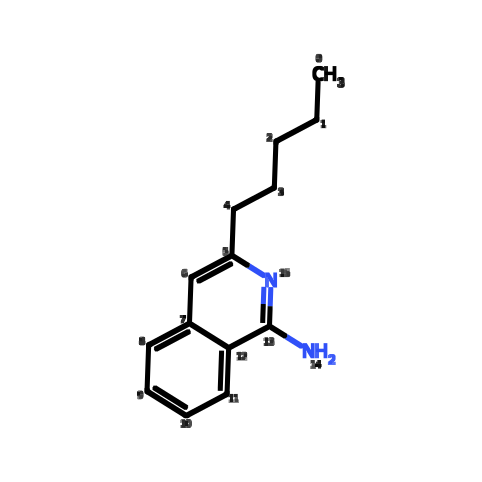 CCCCCc1cc2ccccc2c(N)n1